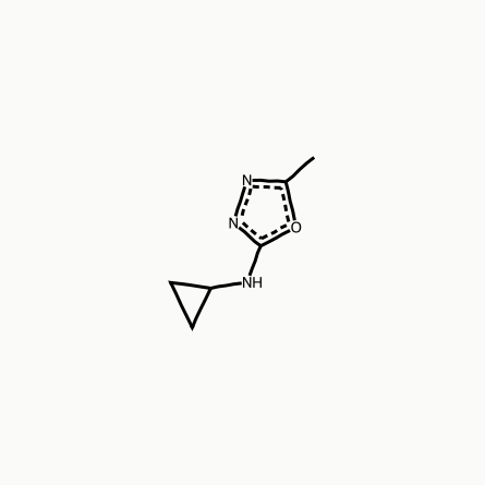 Cc1nnc(NC2CC2)o1